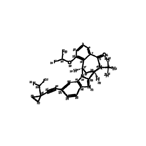 [2H]C([2H])([2H])N1C(=O)c2cccc(OC(F)F)c2[C@H]2C[C@@H]1c1nc3ccc(C#CC4(C(F)F)CC4)cc3n12